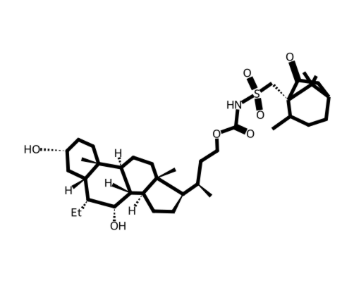 CC[C@H]1[C@@H](O)[C@@H]2[C@H](CC[C@]3(C)[C@@H]([C@H](C)CCOC(=O)NS(=O)(=O)C[C@@]45C(=O)CC(CCC4C)C5(C)C)CC[C@@H]23)[C@@]2(C)CC[C@@H](O)C[C@@H]12